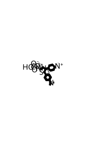 CN(C)c1ccc(C2SC=CC2=C2C=CC(=[N+](C)C)C=C2)cc1.N.[O-][Cl+3]([O-])([O-])O